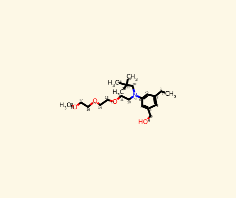 CCc1cc(CO)cc(N(CCOCCOCCOC)CC(C)(C)C)c1